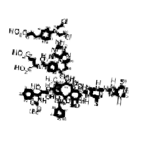 CC(=O)O[C@@]12CO[C@@H]1C[C@H](O)[C@@]1(C)C(=O)[C@H](O)C3=C(C)C(OC(=O)[C@H](O)[C@@H](NC(=O)OC(C)(C)C)c4ccccc4)C[C@@](O)(C(OC(=O)c4ccccc4)C12)C3(C)C.CN(Cc1cnc2nc(N)nc(N)c2n1)c1ccc(C(=O)N[C@@H](CCC(=O)O)C(=O)O)cc1.Nc1nc(=S)c2[nH]cnc2[nH]1.O=C(O)CCCc1ccc(N(CCCl)CCCl)cc1.S=c1nc[nH]c2nc[nH]c12